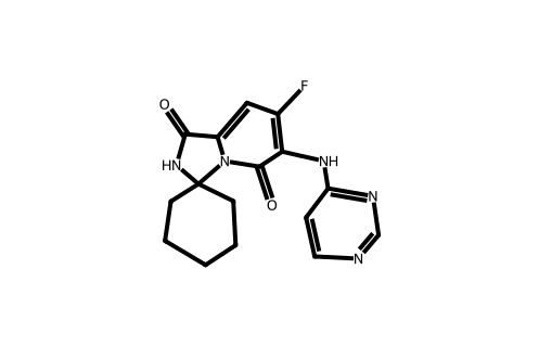 O=C1NC2(CCCCC2)n2c1cc(F)c(Nc1ccncn1)c2=O